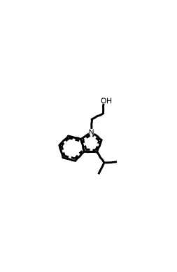 CC(C)c1cn(CCO)c2ccccc12